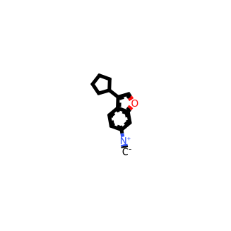 [C-]#[N+]c1ccc2c(C3CCCC3)coc2c1